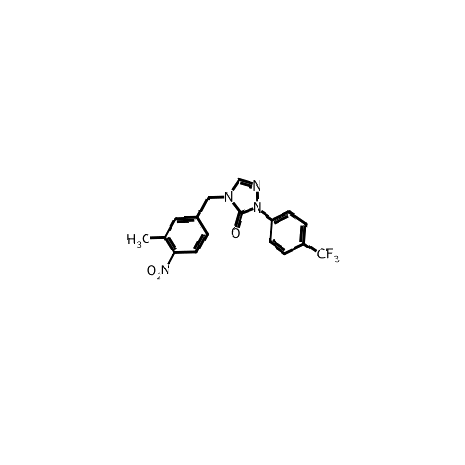 Cc1cc(Cn2cnn(-c3ccc(C(F)(F)F)cc3)c2=O)ccc1[N+](=O)[O-]